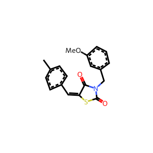 COc1cccc(CN2C(=O)SC(=Cc3ccc(C)cc3)C2=O)c1